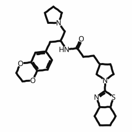 O=C(CCC1CCN(C2=NC3CCCCC3S2)C1)NC(Cc1ccc2c(c1)OCCO2)CN1CCCC1